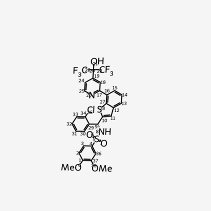 COc1ccc(S(=O)(=O)N[C@@H](c2cc3cccc(-c4cc(C(O)(C(F)(F)F)C(F)(F)F)ccn4)c3s2)c2ccccc2Cl)cc1OC